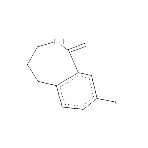 O=C1NCCCc2ccc(Cl)cc21